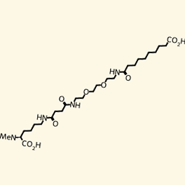 CN[C@@H](CCCCNC(=O)CCC(=O)NCCOCCOCCNC(=O)CCCCCCCCC(=O)O)C(=O)O